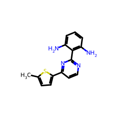 Cc1ccc(-c2ccnc(-c3c(N)cccc3N)n2)s1